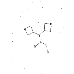 CCO[SiH](CC)C(C1COC1)C1COC1